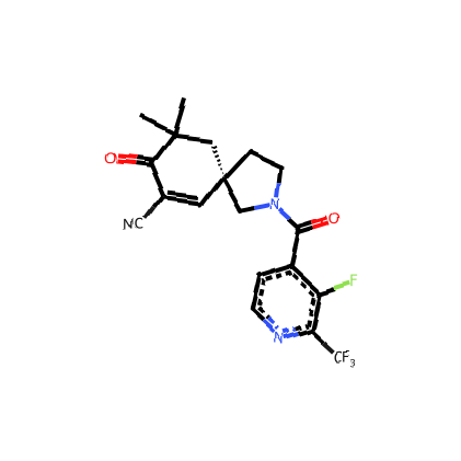 CC1(C)C[C@]2(C=C(C#N)C1=O)CCN(C(=O)c1ccnc(C(F)(F)F)c1F)C2